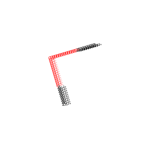 [O-2].[O-2].[O-2].[O-2].[O-2].[O-2].[O-2].[O-2].[O-2].[O-2].[O-2].[O-2].[O-2].[O-2].[O-2].[O-2].[O-2].[O-2].[O-2].[O-2].[O-2].[O-2].[O-2].[O-2].[O-2].[O-2].[O-2].[O-2].[O-2].[O-2].[Zn+2].[Zn+2].[Zn+2].[Zn+2].[Zn+2].[Zn+2].[Zn+2].[Zn+2].[Zn+2].[Zn+2].[Zn+2].[Zn+2].[Zn+2].[Zn+2].[Zn+2].[Zn+2].[Zn+2].[Zn+2].[Zn+2].[Zn+2]